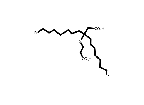 CC(C)CCCCCCCC(CCCCCCCC(C)C)(CC(=O)O)SCCC(=O)O